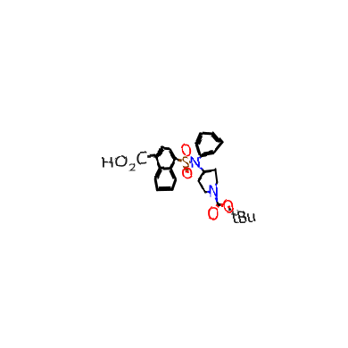 CC(C)(C)OC(=O)N1CCC(N(c2ccccc2)S(=O)(=O)c2ccc(C(=O)O)c3ccccc23)CC1